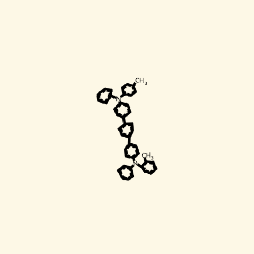 Cc1ccc(N(c2ccccc2)c2ccc(-c3ccc(-c4ccc(N(c5ccccc5)c5ccccc5C)cc4)cc3)cc2)cc1